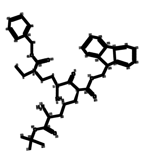 CCN(CCN(N)C(=O)[C@H](CCCC(N)C(=O)OC(C)(C)C)C(=O)OCC1c2ccccc2-c2ccccc21)C(=O)OCc1ccccc1